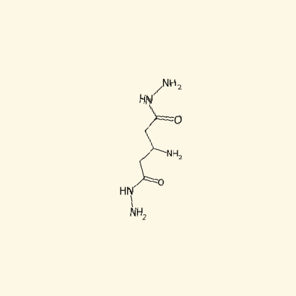 NNC(=O)CC(N)CC(=O)NN